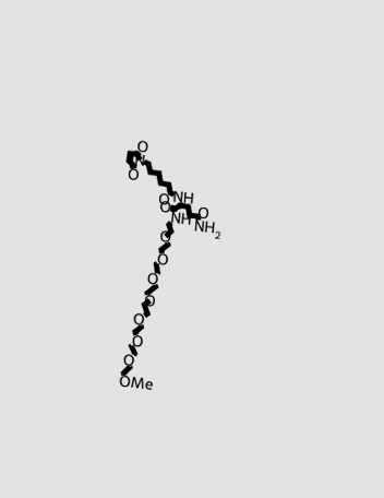 COCCOCCOCCOCCOCCOCCOCCOCCNC(=O)C(CCC(N)=O)NC(=O)CCCCCN1C(=O)C=CC1=O